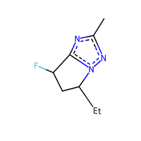 CCC1CC(F)c2nc(C)nn21